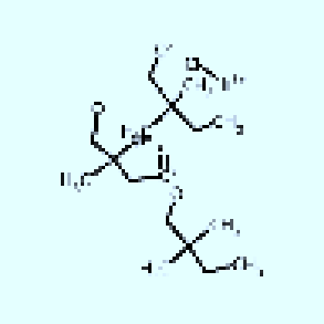 CCC(C)(C)C[O-].CCC(C)(C)C[O-].CCC(C)(C)C[O-].[Cl][Ti+3]